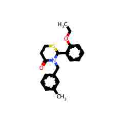 CCOc1ccccc1C1SCCC(=O)N1Cc1cccc(C)c1